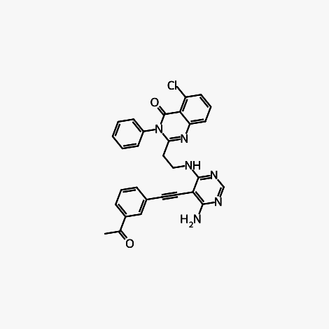 CC(=O)c1cccc(C#Cc2c(N)ncnc2NCCc2nc3cccc(Cl)c3c(=O)n2-c2ccccc2)c1